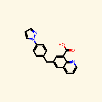 O=C(O)c1cc(Cc2ccc(-n3cccn3)cc2)cc2cccnc12